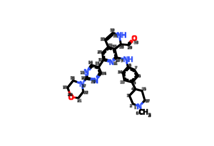 CN1CCC(c2ccc(Nc3nc(-c4cnc(N5CCOCC5)nc4)cc4c3C(C=O)NC=C4)cc2)CC1